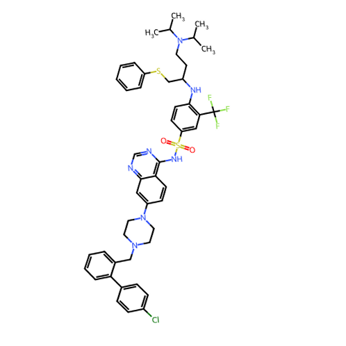 CC(C)N(CCC(CSc1ccccc1)Nc1ccc(S(=O)(=O)Nc2ncnc3cc(N4CCN(Cc5ccccc5-c5ccc(Cl)cc5)CC4)ccc23)cc1C(F)(F)F)C(C)C